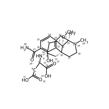 CO[C@@]12CC[C@@H](NC(CC(=O)O)C(=O)O)C[C@@]13CCN(C)[C@@H]2Cc1ccc(C(N)=O)c(O)c13